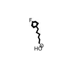 OOCCCCCCc1ccc(F)cc1